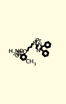 Cc1ccc(S(N)(=O)=O)c(OCCCCN(c2cnc(-c3ccccc3)c(-c3ccccc3)n2)C(C)C)c1